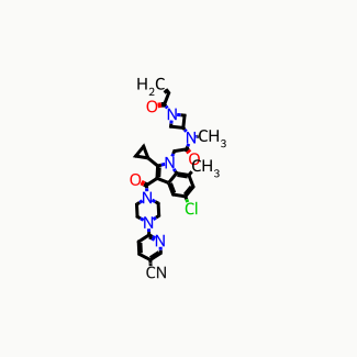 C=CC(=O)N1CC(N(C)C(=O)Cn2c(C3CC3)c(C(=O)N3CCN(c4ccc(C#N)cn4)CC3)c3cc(Cl)cc(C)c32)C1